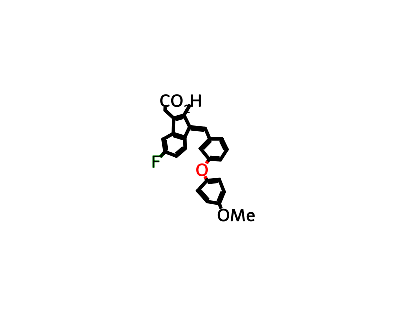 COc1ccc(Oc2cccc(/C=C3/C(C)=C(CC(=O)O)c4cc(F)ccc43)c2)cc1